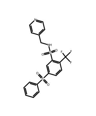 O=S(=O)(NCc1ccncc1)c1cc(S(=O)(=O)c2ccccc2)ccc1C(F)(F)F